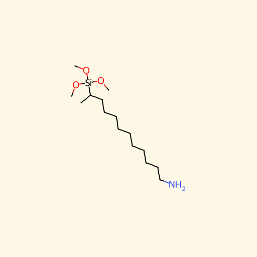 CO[Si](OC)(OC)C(C)CCCCCCCCCCN